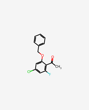 CC(=O)c1c(F)cc(Cl)cc1OCc1ccccc1